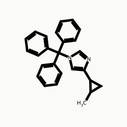 CC1CC1c1cn(C(c2ccccc2)(c2ccccc2)c2ccccc2)cn1